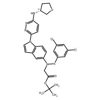 CC(C)(C)OC(=O)CN(Sc1cc(Cl)cc(Cl)c1)c1ccc2c(ccn2-c2ccc(N[C@@H]3CCOC3)nn2)c1